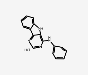 Cl.c1ccc(Nc2ncnc3c2[nH]c2ccccc23)cc1